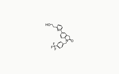 O=C1Cc2cc(-c3cccc(CCO)n3)ccc2N1Cc1ccc(C(F)(F)F)cc1